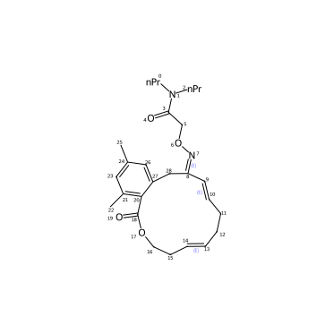 CCCN(CCC)C(=O)CO/N=C1/C=C/CC/C=C/CCOC(=O)c2c(C)cc(C)cc2C1